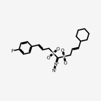 [N-]=[N+]=C(S(=O)(=O)CC=Cc1ccc(F)cc1)S(=O)(=O)CC=CC1CCCCC1